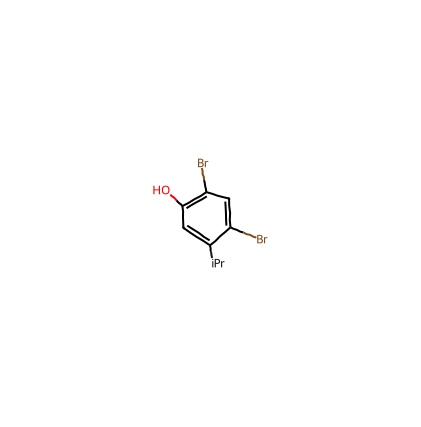 CC(C)c1cc(O)c(Br)cc1Br